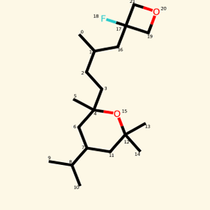 CC(CCC1(C)CC(C(C)C)CC(C)(C)O1)CC1(F)COC1